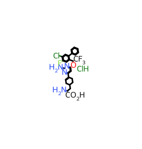 Cl.Nc1nc(OC(c2cc(F)c(Cl)cc2-c2ccccc2)C(F)(F)F)cc(C2=CCC(CC(N)C(=O)O)CC2)n1